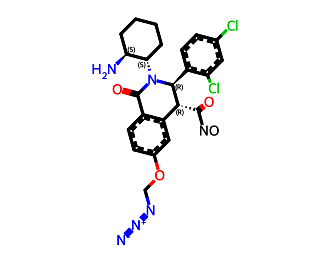 [N-]=[N+]=NCOc1ccc2c(c1)[C@@H](C(=O)N=O)[C@H](c1ccc(Cl)cc1Cl)N([C@H]1CCCC[C@@H]1N)C2=O